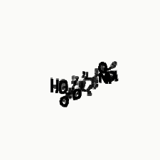 CS(=O)(=O)NCc1ccc2c(c1)CC(C(=O)O)O2